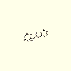 O=C(Oc1ccccc1)C1OC12CCCCC2